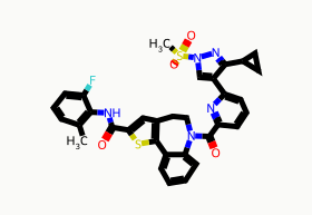 Cc1cccc(F)c1NC(=O)c1cc2c(s1)-c1ccccc1N(C(=O)c1cccc(-c3cn(S(C)(=O)=O)nc3C3CC3)n1)CC2